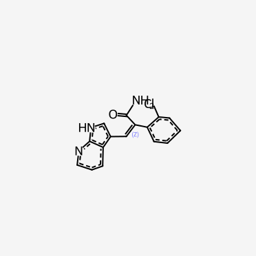 NC(=O)/C(=C\c1c[nH]c2ncccc12)c1ccccc1Cl